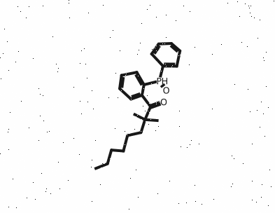 CCCCCCC(C)(C)C(=O)c1ccccc1[PH](=O)c1ccccc1